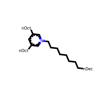 CCCCCCCCCCCCCCCCCC[n+]1cc(CCCCCCCC)cc(CCCCCCCC)c1